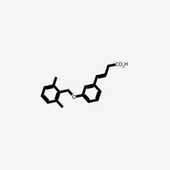 Cc1cccc(C)c1COc1cccc(C=CCC(=O)O)c1